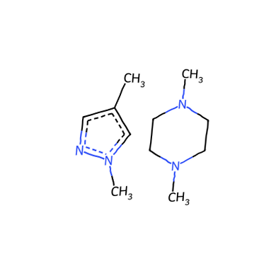 CN1CCN(C)CC1.Cc1cnn(C)c1